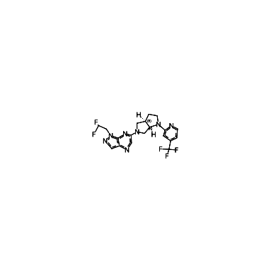 FC(F)Cn1ncc2ncc(N3C[C@H]4CCN(c5cc(C(F)(F)F)ccn5)[C@H]4C3)nc21